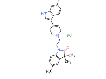 Cc1ccc2c(c1)C(C)(C)C(=O)N2CCN1CC=C(c2c[nH]c3cc(F)ccc23)CC1.Cl